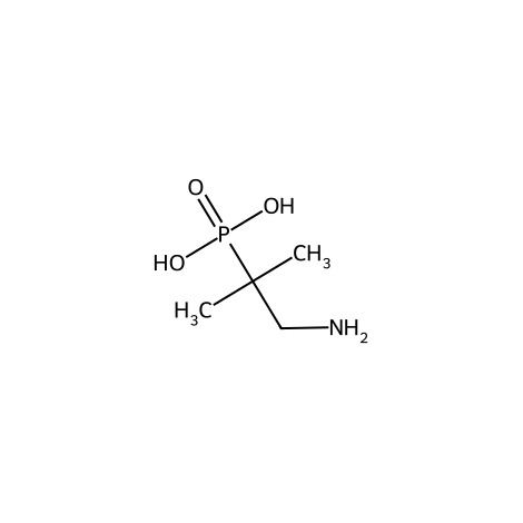 CC(C)(CN)P(=O)(O)O